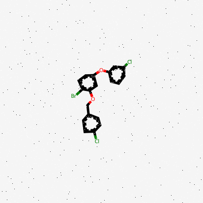 Clc1ccc(COc2cc(Oc3cccc(Cl)c3)ccc2Br)cc1